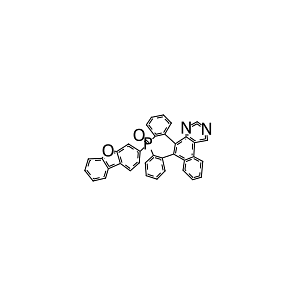 O=P1(c2ccc3c(c2)oc2ccccc23)c2ccccc2-c2c(c3ncncc3c3ccccc23)-c2ccccc21